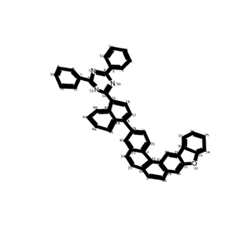 c1ccc(-c2nc(-c3ccccc3)nc(-c3ccc(-c4ccc5c(ccc6ccc7cc8oc9ccccc9c8cc7c65)c4)c4ccccc34)n2)cc1